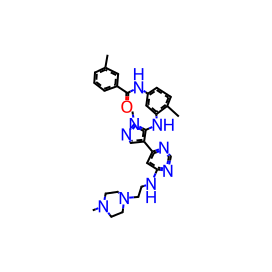 Cc1cccc(C(=O)Nc2ccc(C)c(Nc3c(-c4cc(NCCN5CCN(C)CC5)ncn4)cnn3C)c2)c1